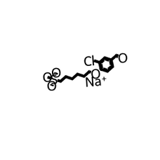 O=Cc1ccc(OCCCCCCS(=O)(=O)[O-])c(Cl)c1.[Na+]